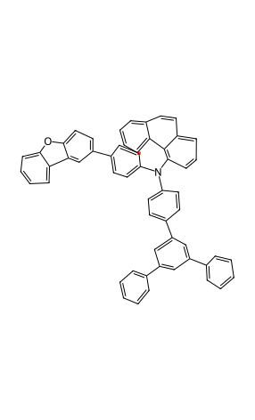 c1ccc(-c2cc(-c3ccccc3)cc(-c3ccc(N(c4ccc(-c5ccc6oc7ccccc7c6c5)cc4)c4cccc5ccc6ccccc6c45)cc3)c2)cc1